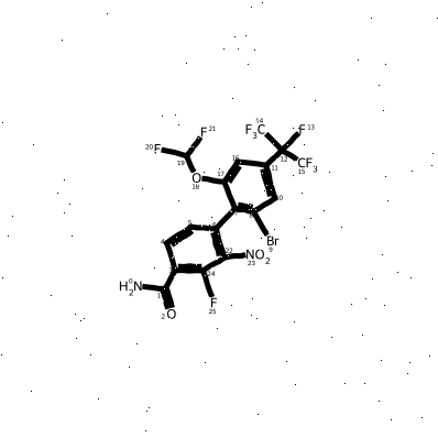 NC(=O)c1ccc(-c2c(Br)cc(C(F)(C(F)(F)F)C(F)(F)F)cc2OC(F)F)c([N+](=O)[O-])c1F